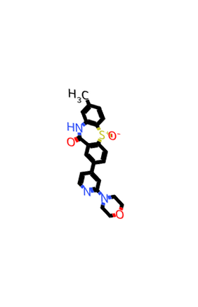 Cc1ccc2c(c1)NC(=O)c1cc(-c3ccnc(N4CCOCC4)c3)ccc1[S+]2[O-]